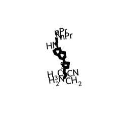 C=C(N)/C(C#N)=C(\C)c1ccc(-c2ccc3cc(NCCN(CCC)CCC)ccc3c2)s1